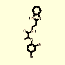 CC(Oc1ccc(Br)cc1Br)C(=O)NCCc1nc2ccccc2[nH]1